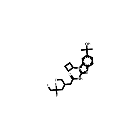 CC(C)(O)c1ccc2nc(NC(=O)CC(CF)CC(F)(F)CF)n(C3CCC3)c2c1